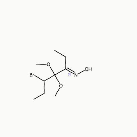 CC/C(=N\O)C(OC)(OC)C(Br)CC